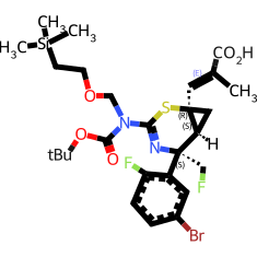 C/C(=C\[C@]12C[C@H]1[C@@](CF)(c1cc(Br)ccc1F)N=C(N(COCC[Si](C)(C)C)C(=O)OC(C)(C)C)S2)C(=O)O